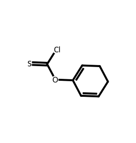 S=C(Cl)OC1=CCCC=C1